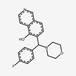 Oc1c(C(c2ccc(F)cc2)N2CCOCC2)ccc2cnccc12